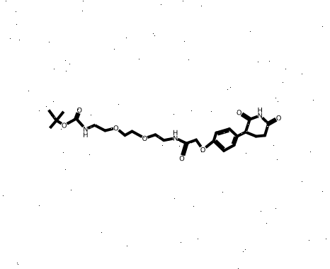 CC(C)(C)OC(=O)NCCOCCOCCNC(=O)COc1ccc(C2CCC(=O)NC2=O)cc1